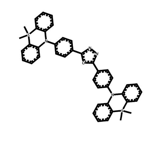 CS1(C)c2ccccc2N(c2ccc(-c3nnc(-c4ccc(N5c6ccccc6S(C)(C)c6ccccc65)cc4)o3)cc2)c2ccccc21